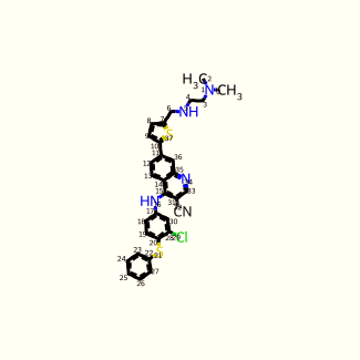 CN(C)CCNCc1ccc(-c2ccc3c(Nc4ccc(Sc5ccccc5)c(Cl)c4)c(C#N)cnc3c2)s1